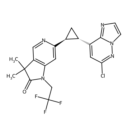 CC1(C)C(=O)N(CC(F)(F)F)c2cc([C@H]3C[C@@H]3c3cc(Cl)nn4ccnc34)ncc21